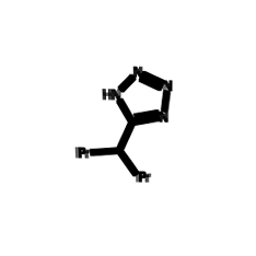 CC(C)C(c1nnn[nH]1)C(C)C